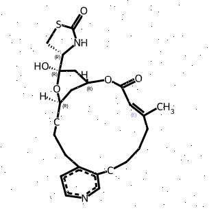 C/C1=C\C(=O)O[C@@H]2C[C@@H](CCCc3ccncc3CCCC1)O[C@@](O)([C@@H]1CSC(=O)N1)C2